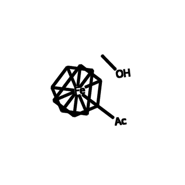 CC(=O)[C]12[CH]3[CH]4[CH]5[CH]1[Fe]45321678[CH]2[CH]1[CH]6[CH]7[CH]28.CO